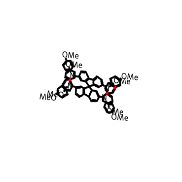 COc1ccc(N(C2=CC3C(C=C2)c2ccc(N(c4ccc(OC)cc4)c4ccc(OC)cc4)cc2C32c3cc(N(c4ccc(OC)cc4)c4ccc(OC)cc4)ccc3-c3ccc(N(c4ccc(OC)cc4)c4ccc(OC)cc4)cc32)c2ccc(OC)cc2)cc1